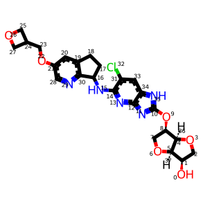 O[C@@H]1CO[C@H]2[C@@H]1OC[C@H]2Oc1nc2nc(NC3CCc4cc(OCC5COC5)cnc43)c(Cl)cc2[nH]1